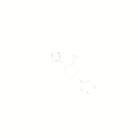 Nc1cc(-n2cnnn2)ccc1N1CC(O)C1